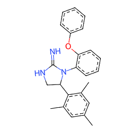 Cc1cc(C)c(C2CNC(=N)N2c2ccccc2Oc2ccccc2)c(C)c1